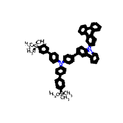 C[Si](C)(C)c1ccc(-c2ccc(N(c3ccc(-c4ccc([Si](C)(C)C)cc4)cc3)c3ccc(-c4ccc5c(c4)c4ccccc4n5-c4ccc5c6ccccc6c6ccccc6c5c4)cc3)cc2)cc1